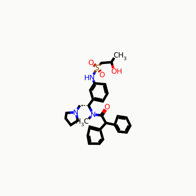 CC(O)CS(=O)(=O)Nc1cccc([C@@H](CN2CCCC2)N(C)C(=O)C(c2ccccc2)c2ccccc2)c1